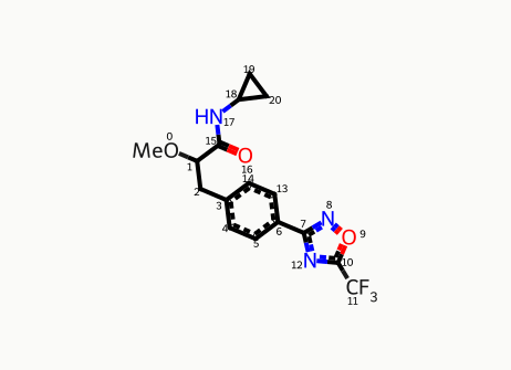 COC(Cc1ccc(-c2noc(C(F)(F)F)n2)cc1)C(=O)NC1CC1